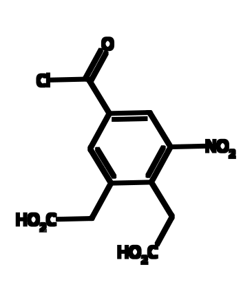 O=C(O)Cc1cc(C(=O)Cl)cc([N+](=O)[O-])c1CC(=O)O